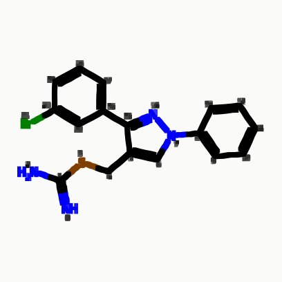 N=C(N)SCc1cn(-c2ccccc2)nc1-c1cccc(Br)c1